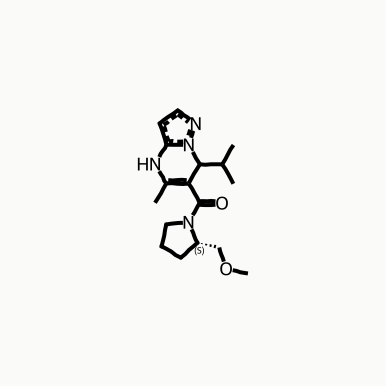 COC[C@@H]1CCCN1C(=O)C1=C(C)Nc2ccnn2C1C(C)C